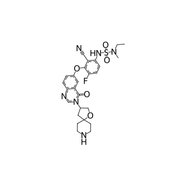 CCN(C)S(=O)(=O)Nc1ccc(F)c(Oc2ccc3ncn(C4COC5(CCNCC5)C4)c(=O)c3c2)c1C#N